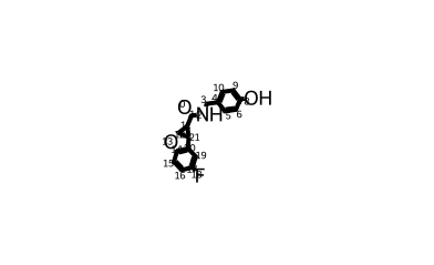 O=C(NCc1ccc(O)cc1)C1C2Oc3ccc(F)cc3C21